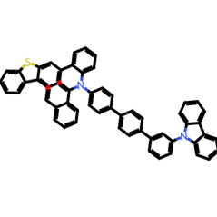 c1cc(-c2ccc(-c3ccc(N(c4ccccc4-c4ccc5c(c4)sc4ccccc45)c4cccc5ccccc45)cc3)cc2)cc(-n2c3ccccc3c3ccccc32)c1